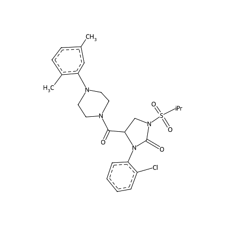 Cc1ccc(C)c(N2CCN(C(=O)C3CN(S(=O)(=O)C(C)C)C(=O)N3c3ccccc3Cl)CC2)c1